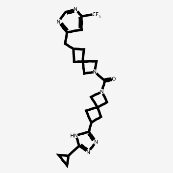 O=C(N1CC2(CC(Cc3cc(C(F)(F)F)ncn3)C2)C1)N1CC2(CC(c3nnc(C4CC4)[nH]3)C2)C1